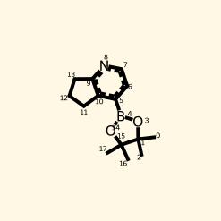 CC1(C)OB(c2ccnc3c2CCC3)OC1(C)C